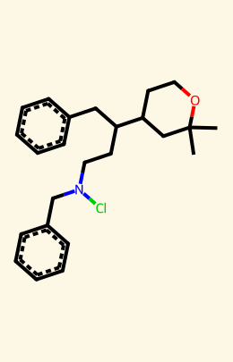 CC1(C)CC(C(CCN(Cl)Cc2ccccc2)Cc2ccccc2)CCO1